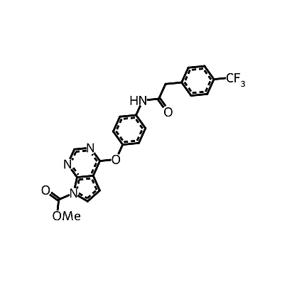 COC(=O)n1ccc2c(Oc3ccc(NC(=O)Cc4ccc(C(F)(F)F)cc4)cc3)ncnc21